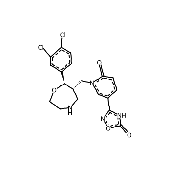 O=c1[nH]c(-c2ccc(=O)n(C[C@@H]3CNCCO[C@H]3c3ccc(Cl)c(Cl)c3)c2)no1